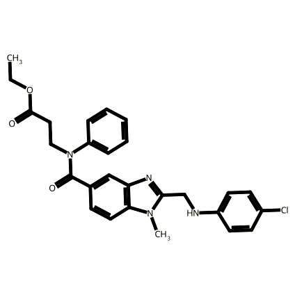 CCOC(=O)CCN(C(=O)c1ccc2c(c1)nc(CNc1ccc(Cl)cc1)n2C)c1ccccc1